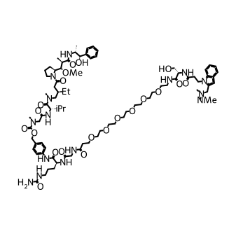 CC[C@H](CC(=O)N1CCC[C@H]1[C@H](OC)[C@@H](C)C(=O)N[C@H](C)[C@@H](O)c1ccccc1)CN(C)C(=O)[C@@H](NC(=O)CN(C)C(=O)OCc1ccc(NC(=O)[C@H](CCCNC(N)=O)NC(=O)CNC(=O)CCOCCOCCOCCOCCOCCOCCNC(=O)[C@H](CO)NC(=O)CCn2c(CN(C)NC)cc3ccccc32)cc1)C(C)C